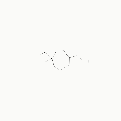 CC1(CO)CCCC(CO)CC1